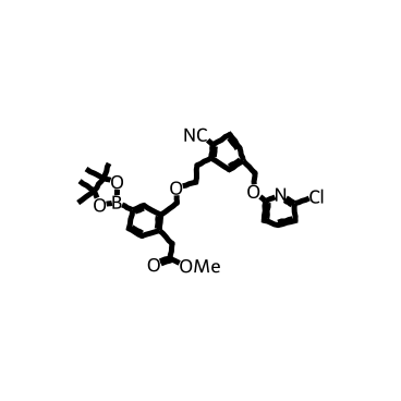 COC(=O)Cc1ccc(B2OC(C)(C)C(C)(C)O2)cc1COCCc1cc(COc2cccc(Cl)n2)ccc1C#N